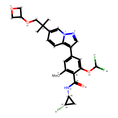 COc1cc(-c2cnn3cc(C(C)(C)COC4COC4)ccc23)cc(OC(F)F)c1C(=O)N[C@@H]1C[C@@H]1F